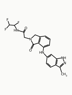 Cc1n[nH]c2cc(Nc3cccc4c3C(=O)N(CC(=O)NC(F)C(F)F)C4)ccc12